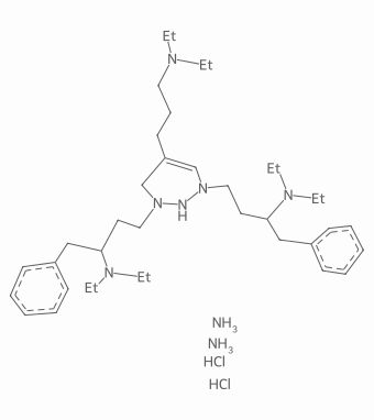 CCN(CC)CCCC1=CN(CCC(Cc2ccccc2)N(CC)CC)NN(CCC(Cc2ccccc2)N(CC)CC)C1.Cl.Cl.N.N